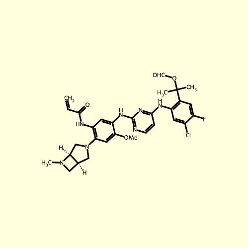 C=CC(=O)Nc1cc(Nc2nccc(Nc3cc(Cl)c(F)cc3C(C)(C)OC=O)n2)c(OC)cc1N1C[C@H]2CN(C)[C@H]2C1